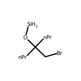 CCCC(CBr)(CCC)O[SiH3]